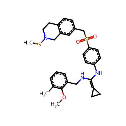 COc1c(C)cccc1CNC(Nc1ccc(S(=O)(=O)Cc2ccc3c(c2)CN(SC)CC3)cc1)=C1CC1